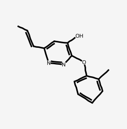 CC=Cc1cc(O)c(Oc2ccccc2C)nn1